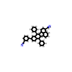 N#Cc1cccc(-c2ccc3c(-c4ccccc4)c4c(c(-c5ccccc5)c3c2)-c2ccc(C#N)c3cccc-4c23)c1